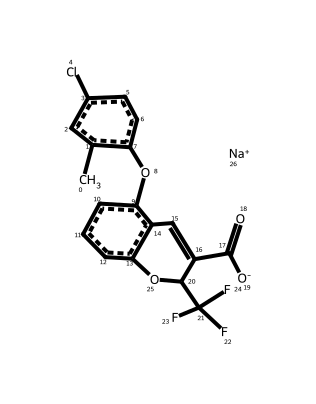 Cc1cc(Cl)ccc1Oc1cccc2c1C=C(C(=O)[O-])C(C(F)(F)F)O2.[Na+]